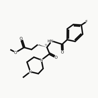 COC(=O)CC[C@H](NC(=O)c1ccc(F)cc1)C(=O)N1CCN(C)CC1